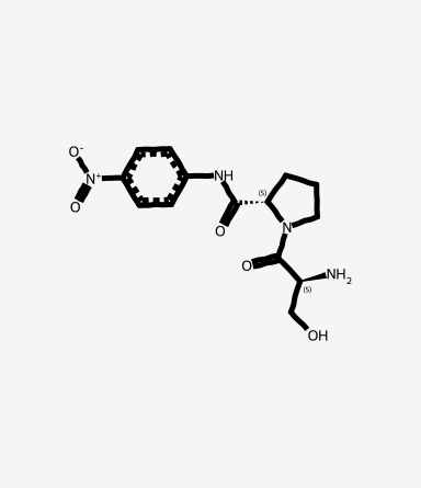 N[C@@H](CO)C(=O)N1CCC[C@H]1C(=O)Nc1ccc([N+](=O)[O-])cc1